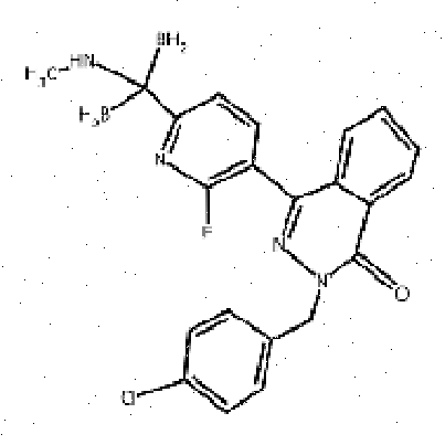 BC(B)(NC)c1ccc(-c2nn(Cc3ccc(Cl)cc3)c(=O)c3ccccc23)c(F)n1